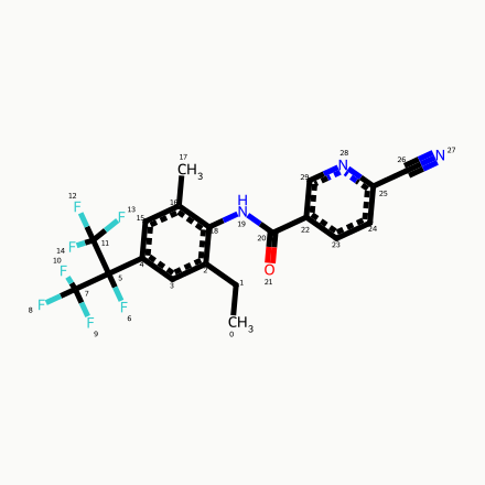 CCc1cc(C(F)(C(F)(F)F)C(F)(F)F)cc(C)c1NC(=O)c1ccc(C#N)nc1